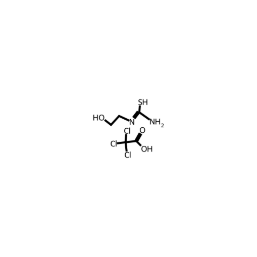 NC(S)=NCCO.O=C(O)C(Cl)(Cl)Cl